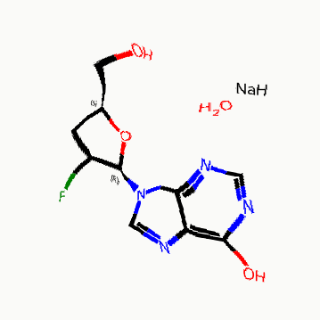 O.OC[C@@H]1CC(F)[C@H](n2cnc3c(O)ncnc32)O1.[NaH]